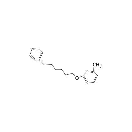 [CH2]c1cccc(OCCCCCCc2ccccc2)c1